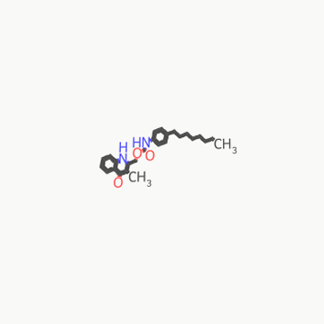 CCCCCCCCc1ccc(NC(=O)OCc2[nH]c3ccccc3c(=O)c2C)cc1